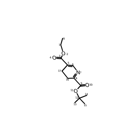 CCOC(=O)C1=CN=C(C(=O)OC(C)(C)C)CC1